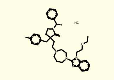 CCOCCn1c(N2CCCN(CCC3(Cc4ccc(F)cc4)CCN([C@H](C)c4ccccc4)C3=O)CC2)nc2ccccc21.Cl